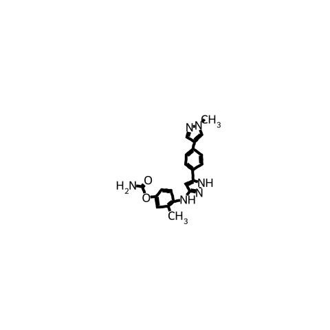 Cc1cc(OC(N)=O)ccc1Nc1cc(-c2ccc(-c3cnn(C)c3)cc2)[nH]n1